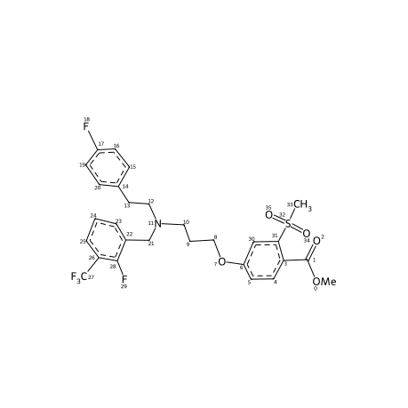 COC(=O)c1ccc(OCCCN(CCc2ccc(F)cc2)Cc2cccc(C(F)(F)F)c2F)cc1S(C)(=O)=O